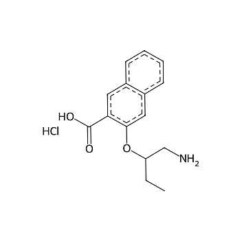 CCC(CN)Oc1cc2ccccc2cc1C(=O)O.Cl